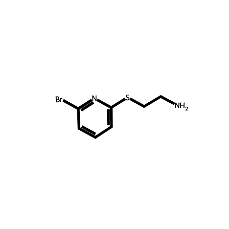 NCCSc1cccc(Br)n1